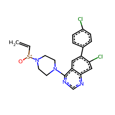 C=C[S+]([O-])N1CCN(c2ncnc3cc(Cl)c(-c4ccc(Cl)cc4)cc23)CC1